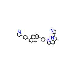 c1cncc(-c2ccc(-c3ccc4ccc5c(-c6ccc(-c7ccc8ccc9ccc(-c%10cccnc%10)nc9c8n7)cc6)ccc6ccc3c4c65)cc2)c1